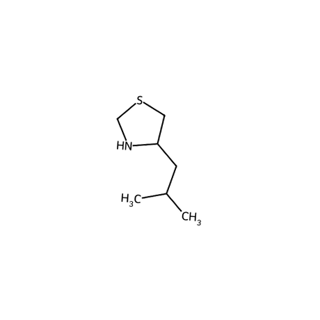 CC(C)CC1CSCN1